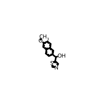 COc1ccc2cc(C(O)c3cncs3)ccc2c1